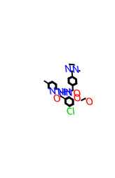 Cc1ccc(NC(=O)c2cc(Cl)cc(OCC=O)c2NC(=O)c2ccc(C3=NCCN3C)cc2)nc1